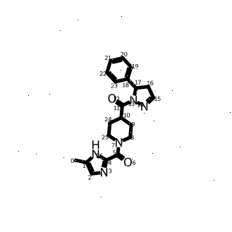 Cc1cnc(C(=O)N2CCC(C(=O)N3N=CCC3c3ccccc3)CC2)[nH]1